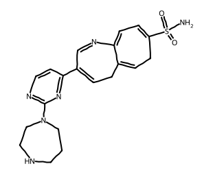 NS(=O)(=O)C1=CC=C2N=CC(c3ccnc(N4CCCNCC4)n3)=CCC2=CC1